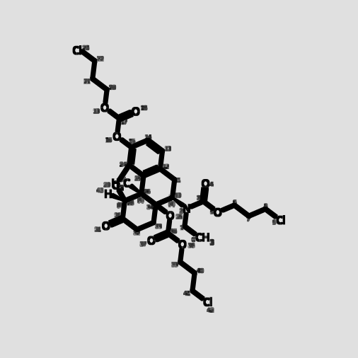 CCN(C(=O)OCCCCl)[C@@H]1Cc2ccc(OC(=O)OCCCCl)c3c2[C@@]2(C)[C@@H](O3)C(=O)CCC12OC(=O)OCCCCl